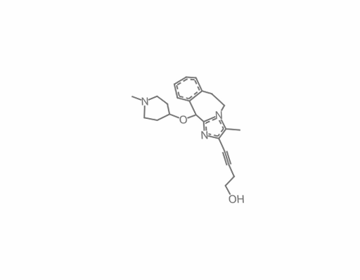 Cc1c(C#CCCO)nc2n1CCc1ccccc1C2OC1CCN(C)CC1